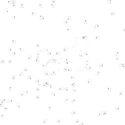 FC(F)(F)c1csc([O][Zr]([O]c2cc(C(F)(F)F)cs2)([C]2=CC=CC2)[C]2=CC=CC2)c1